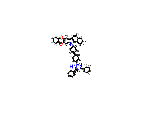 C1=CCCC(C2N=C(c3ccccc3)N=C(C3=CCC(c4ccc(-n5c6cc7c(cc6c6ccc8ccccc8c65)Oc5ccccc5O7)cc4)C=C3)N2)=C1